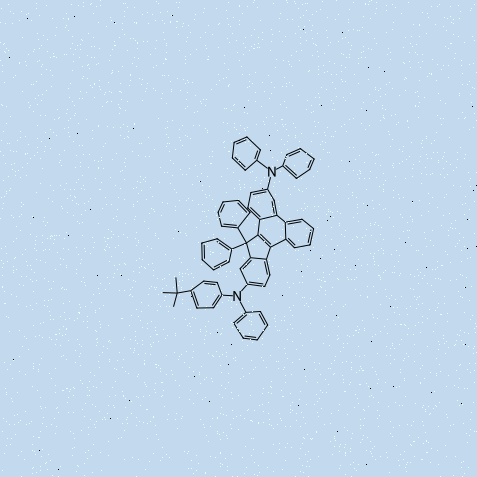 CC(C)(C)c1ccc(N(c2ccccc2)c2ccc3c(c2)C(c2ccccc2)(c2ccccc2)c2c-3c3ccccc3c3cc(N(c4ccccc4)c4ccccc4)ccc23)cc1